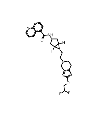 O=C(N[C@H]1C[C@@H]2[C@@H](CCN3CCc4sc(OCC(F)F)nc4C3)[C@@H]2C1)c1cccc2ncccc12